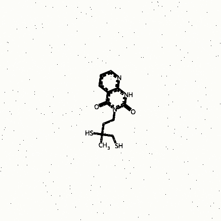 CC(S)(CS)CCn1c(=O)[nH]c2ncccc2c1=O